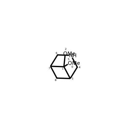 COC1(OC)C2CNCC1C2